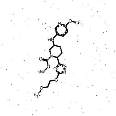 CC(C)(C)OC(=O)N1CC(Nc2ccc(OC(F)(F)F)nc2)CCC1c1nnc(OCCOC(F)(F)F)o1